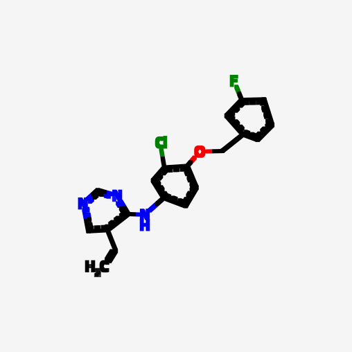 C=Cc1cncnc1Nc1ccc(OCc2cccc(F)c2)c(Cl)c1